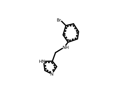 Brc1cccc(NCc2cnc[nH]2)c1